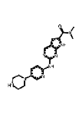 CN(C)C(=O)c1cc2cnc(Nc3ccc(N4CCNCC4)cn3)nc2[nH]1